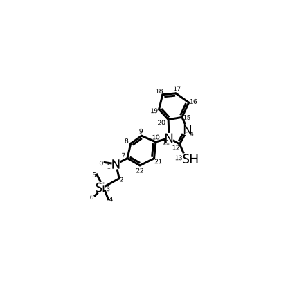 CN(C[Si](C)(C)C)c1ccc(-n2c(S)nc3ccccc32)cc1